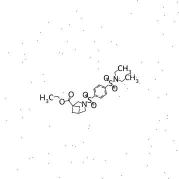 CCOC(=O)C12CC(CN(S(=O)(=O)c3ccc(S(=O)(=O)N(CC)CC)cc3)C1)C2